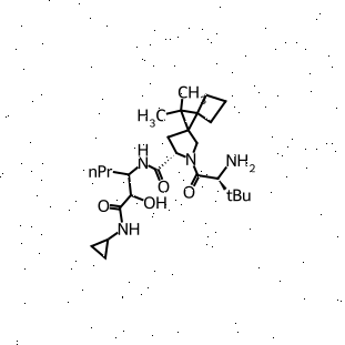 CCCC(NC(=O)[C@@H]1CC2(CN1C(=O)[C@@H](N)C(C)(C)C)C(C)(C)C21CCC1)C(O)C(=O)NC1CC1